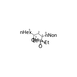 CCCCCCCCCC(CC(O)CCCCCC)P(=O)(CC)CC